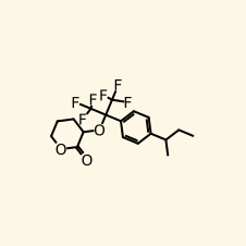 CCC(C)c1ccc(C(OC2CCCOC2=O)(C(F)(F)F)C(F)(F)F)cc1